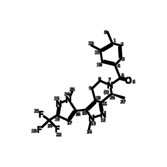 Cc1ccc(C(=O)N2CCc3c(nn(C)c3-c3cc(C(F)(F)F)nn3C)[C@@H]2C)cc1C